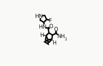 NC(=O)C1C(C(=O)NC2CNCC2F)[C@H]2CC[C@H]1C21CC1